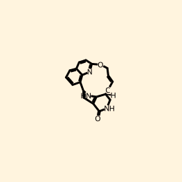 O=C1NC[C@H]2C/C=C/COc3ccc4cccc(c4n3)-c3cc1c2[nH]3